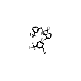 FC(F)(F)c1cccc(CBr)c1.O=c1n(Cc2cccc(C(F)(F)F)c2)nc2c(Br)cccn12